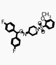 COc1ccccc1S(=O)(=O)N1CCC(=NOC(c2ccc(F)cc2)c2ccc(F)cc2)CC1